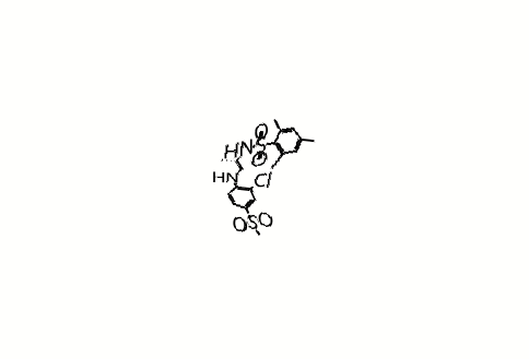 Cc1cc(C)c(S(=O)(=O)N[C@@H](C)CNc2ccc(S(C)(=O)=O)cc2Cl)c(C)c1